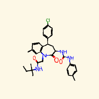 CCC(C)(C)NC(=O)CN1C(=O)C(NC(=O)Nc2ccc(C)cc2)CC(c2ccc(Cl)cc2)c2ccc(C)cc21